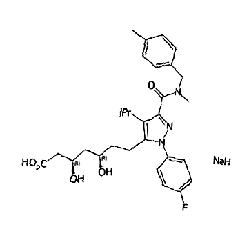 Cc1ccc(CN(C)C(=O)c2nn(-c3ccc(F)cc3)c(CC[C@@H](O)C[C@@H](O)CC(=O)O)c2C(C)C)cc1.[NaH]